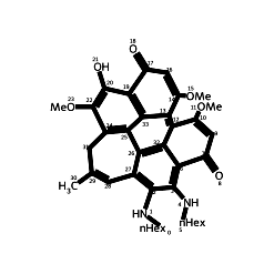 CCCCCCNc1c(NCCCCCC)c2c(=O)cc(OC)c3c4c(OC)cc(=O)c5c(O)c(OC)c6c(c(c1C=C(C)C6)c23)c54